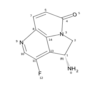 N[C@H]1Cn2c(=O)ccc3ncc(F)c1c32